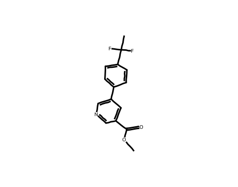 COC(=O)c1cncc(-c2ccc(C(C)(F)F)cc2)c1